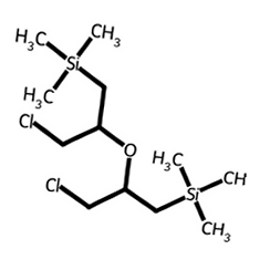 C[Si](C)(C)CC(CCl)OC(CCl)C[Si](C)(C)C